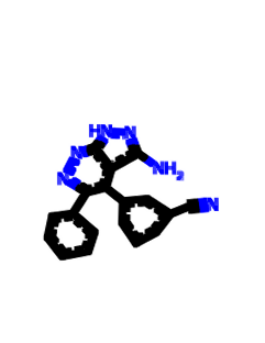 N#Cc1cccc(-c2c(-c3ccccc3)nnc3[nH]nc(N)c23)c1